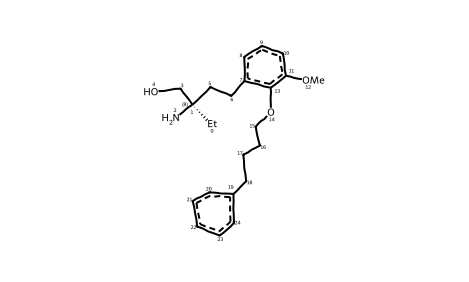 CC[C@](N)(CO)CCc1cccc(OC)c1OCCCCc1ccccc1